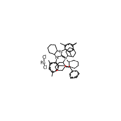 Cc1cc(C)c(N2C(=P(C3CCCCC3)(C3CCCCC3)C3CCCCC3=Cc3ccccc3)N(c3c(C)cc(C)cc3C)C3CCCCC32)c(C)c1.[Cl][Ru][Cl]